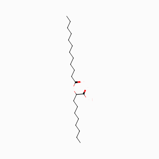 CCCCCCCCCCCC(=O)OC(CCCCCCCC)C(=O)O